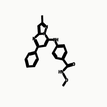 CONC(=O)c1ccc(Nc2cc(-c3ccccc3)nc3cc(C)nn23)cc1